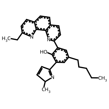 CCCCCc1cc(C2=NC(C)C=C2)c(O)c(-c2ccc3ccc4ccc(CC)nc4c3n2)c1